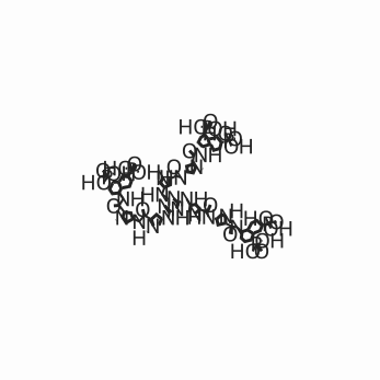 Cn1cc(Nc2nc(Nc3cc(C(=O)Nc4cc(C(=O)Nc5ccc(P(=O)(O)O)c6cc(P(=O)(O)O)ccc56)n(C)c4)n(C)c3)nc(Nc3cc(C(=O)Nc4cc(C(=O)Nc5ccc(P(=O)(O)O)c6cc(P(=O)(O)O)ccc56)n(C)c4)n(C)c3)n2)cc1C(=O)Nc1cc(C(=O)Nc2ccc(P(=O)(O)O)c3cc(P(=O)(O)O)ccc23)n(C)c1